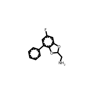 NCC1Oc2cc(F)cc(-c3ccccc3)c2O1